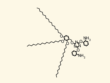 CCCCCCCCCCCCCCCCOc1ccc(COc2nc(Oc3ccccc3N)nc(Oc3ccccc3N)n2)c(OCCCCCCCCCCCCCCCC)c1OCCCCCCCCCCCCCCCC